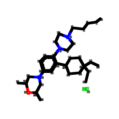 CCCCCN1CCN(c2ccc(N3CC(C)OC(C)C3)cc2C2CCC(CC)(CC)CC2)CC1.Cl